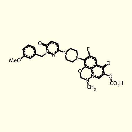 COc1cccc(Cn2nc(N3CCN(c4c(F)cc5c(=O)c(OC(=O)O)cn6c5c4OCN6C)CC3)ccc2=O)c1